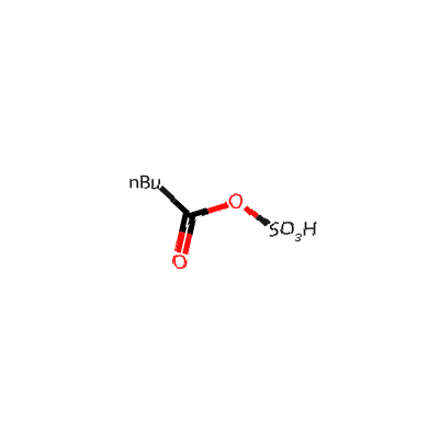 CCCCC(=O)OS(=O)(=O)O